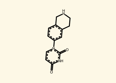 O=c1ccn(-c2ccc3c(c2)CCNC3)c(=O)[nH]1